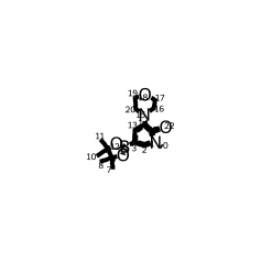 Cn1cc(B2OC(C)(C)C(C)(C)O2)cc(N2CCOCC2)c1=O